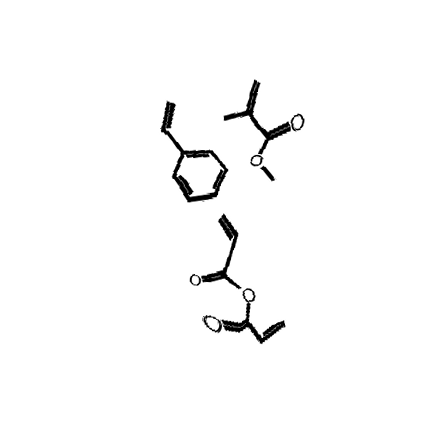 C=C(C)C(=O)OC.C=CC(=O)OC(=O)C=C.C=Cc1ccccc1